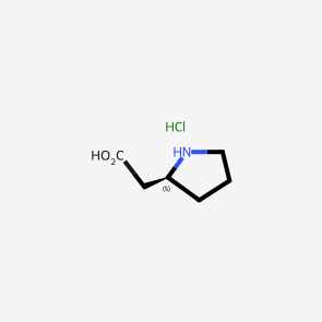 Cl.O=C(O)C[C@@H]1CCCN1